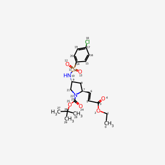 CCOC(=O)/C=C/[C@@H]1C[C@@H](NS(=O)(=O)c2ccc(Cl)cc2)CN1C(=O)OC(C)(C)C